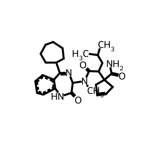 CC(C)CC(C(=O)N(C)C1N=C(C2CCCCCC2)c2ccccc2NC1=O)C1(C(N)=O)CC=CC1